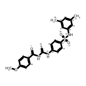 COc1ccc(C(=O)NC(=S)Nc2ccc(S(=O)(=O)Nc3cc(C)cc(C)c3)cc2)cc1